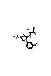 CC1CN(c2cccc(Cl)c2)C(=NC(=O)C(F)F)S1